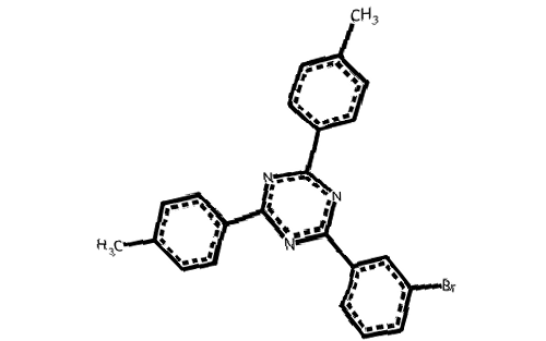 Cc1ccc(-c2nc(-c3ccc(C)cc3)nc(-c3cccc(Br)c3)n2)cc1